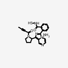 CC#CC(=O)N1CCCC1C1=C2C=NC=C[N+]2(N)C(c2ccccc2C(=O)NS)=N1